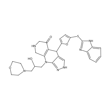 O=C1CNCC2=C1C(c1ccc(Sc3nc4ccccc4[nH]3)o1)c1c[nH]nc1N2CC(O)CN1CCOCC1